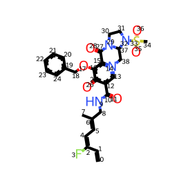 C=C/C(F)=C\C=C(/C)CNC(=O)c1cn2c(c(OCc3ccccc3)c1=O)C(=O)N1CCN(S(C)(=O)=O)C1C2